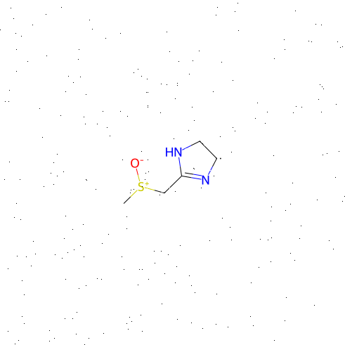 C[S+]([O-])CC1=N[CH]CN1